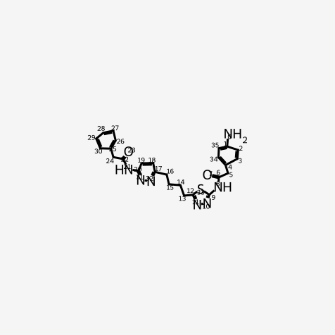 Nc1ccc(CC(=O)Nc2nnc(CCCCc3ccc(NC(=O)Cc4ccccc4)nn3)s2)cc1